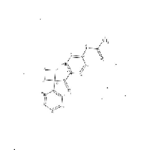 NC(=O)Oc1ccc(C(=O)C2(c3ccccn3)CCC2)nc1